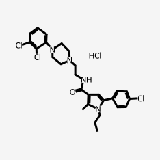 CCCn1c(-c2ccc(Cl)cc2)cc(C(=O)NCCN2CCN(c3cccc(Cl)c3Cl)CC2)c1C.Cl